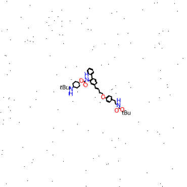 CC(C)(C)NC1CCC(OC(=O)Nc2cc(/C=C/CCOc3ccc(CCNC(=O)OC(C)(C)C)cc3)ccc2-c2ccccc2)CC1